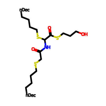 CCCCCCCCCCCCCCSCC(=O)NC(SCCCCCCCCCCCCCC)C(=O)SCCCO